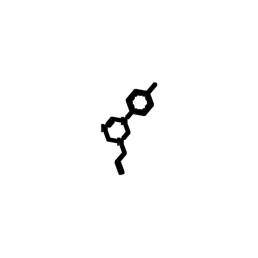 C=CCN1CN=CN(c2ccc(C)cc2)C1